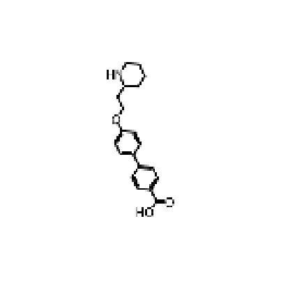 O=C(O)c1ccc(-c2ccc(OCCC3CCCCN3)cc2)cc1